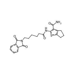 NC(=O)c1c(NC(=O)CCCCCN2C(=O)c3ccccc3C2=O)sc2c1CCC2